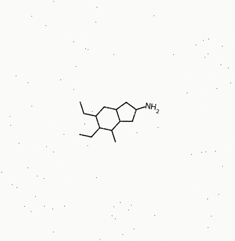 CCC1CC2CC(N)CC2C(C)C1CC